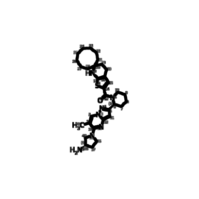 Cc1cn2nc([C@@H]3CCCCN3C(=O)c3cc4c(s3)NC3(CCCCCCCC3)CC4)cc2nc1N1CC[C@H](N)C1